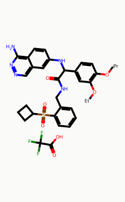 CCOc1cc(C(Nc2ccc3c(N)nncc3c2)C(=O)NCc2ccccc2S(=O)(=O)C2CCC2)ccc1OC(C)C.O=C(O)C(F)(F)F